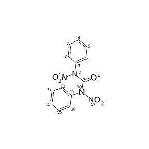 O=C(N(c1ccccc1)[N+](=O)[O-])N(c1ccccc1)[N+](=O)[O-]